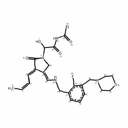 C\C=C/C=C1/C(=O)N(C(O)C(=O)NC(=O)CC)C/C1=C\NCc1cccc(CN2CCOCC2)c1F